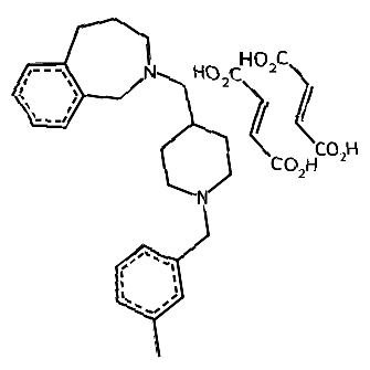 Cc1cccc(CN2CCC(CN3CCCc4ccccc4C3)CC2)c1.O=C(O)C=CC(=O)O.O=C(O)C=CC(=O)O